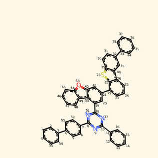 c1ccc(-c2ccc(-c3nc(-c4ccccc4)nc(-c4cc(-c5cccc6c5sc5ccc(-c7ccccc7)cc56)cc5oc6ccccc6c45)n3)cc2)cc1